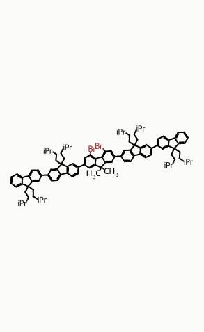 CC(C)CCC1(CCC(C)C)c2ccccc2-c2ccc(-c3ccc4c(c3)C(CCC(C)C)(CCC(C)C)c3cc(-c5cc(Br)c6c(c5)C(C)(C)c5cc(-c7ccc8c(c7)C(CCC(C)C)(CCC(C)C)c7cc(-c9ccc%10c(c9)C(CCC(C)C)(CCC(C)C)c9ccccc9-%10)ccc7-8)cc(Br)c5-6)ccc3-4)cc21